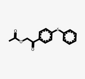 CC(=O)OCC(=O)c1ccc(Sc2ccccc2)cc1